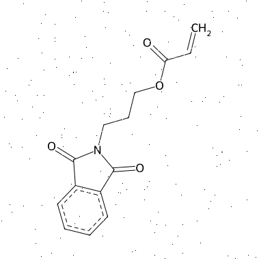 C=CC(=O)OCCCN1C(=O)c2ccccc2C1=O